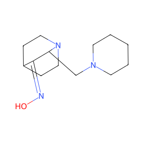 O/N=C1\C2CCN(CC2)C1CN1CCCCC1